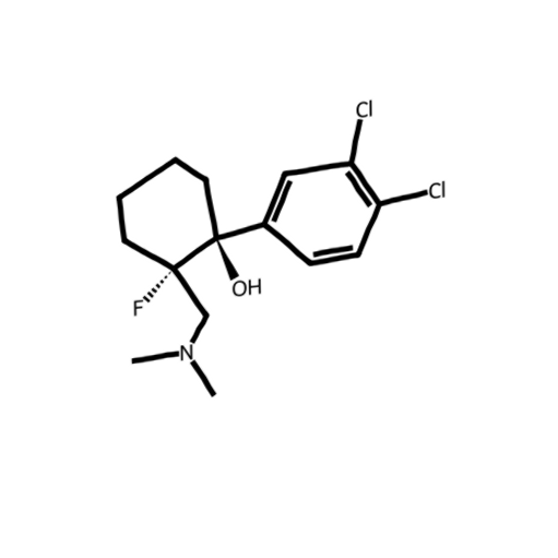 CN(C)C[C@@]1(F)CCCC[C@]1(O)c1ccc(Cl)c(Cl)c1